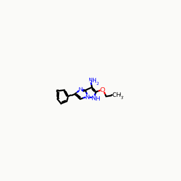 CCOc1[nH]n2cc(-c3ccccc3)nc2c1N